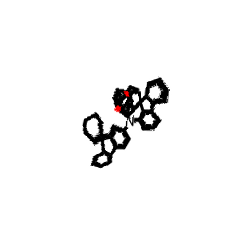 c1ccc(N(c2ccc3c(c2)C2(CCCCC2)c2ccccc2-3)c2cccc3c2C2(c4ccccc4-3)C3CC4CC(C3)CC2C4)cc1